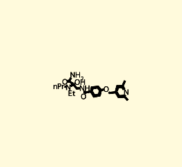 CCCN(CC)[C@](O)(CNC(=O)c1ccc(OCc2cc(C)nc(C)c2)cc1)C(N)=O